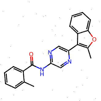 Cc1ccccc1C(=O)Nc1cnc(-c2c(C)oc3ccccc23)cn1